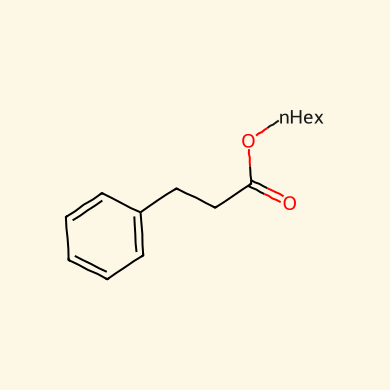 CCCCCCOC(=O)CCc1ccccc1